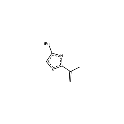 C=C(C)c1nc(C(C)CC)cs1